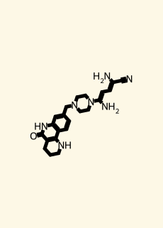 N#C/C(N)=C/C=C(\N)N1CCN(Cc2ccc3c4c(c(=O)[nH]c3c2)CCCN4)CC1